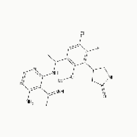 CCOc1c(C(C)Nc2ncnc(N)c2C(C)=N)cc(Cl)c(F)c1C1CNC(=O)C1